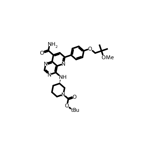 COC(C)(C)COc1ccc(-c2cc(C(N)=O)c3ncnc(N[C@H]4CCCN(C(=O)OC(C)(C)C)C4)c3n2)cc1